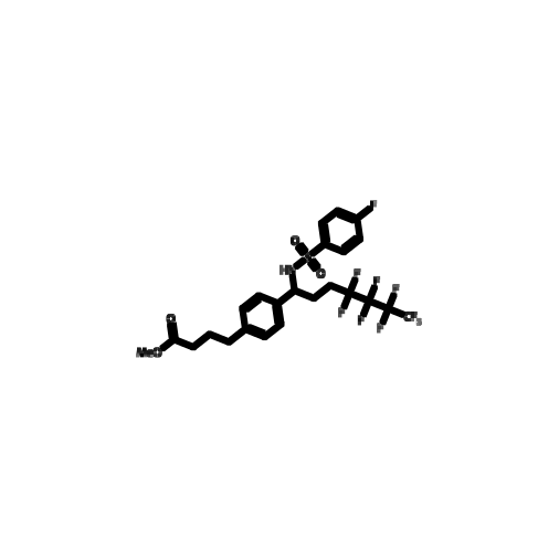 COC(=O)CCCc1ccc(C(CCC(F)(F)C(F)(F)C(F)(F)C(F)(F)F)NS(=O)(=O)c2ccc(F)cc2)cc1